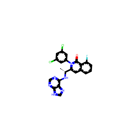 C[C@@H](Nc1ncnc2[nH]cnc12)c1cc2cccc(F)c2c(=O)n1-c1cc(Cl)cc(Cl)c1